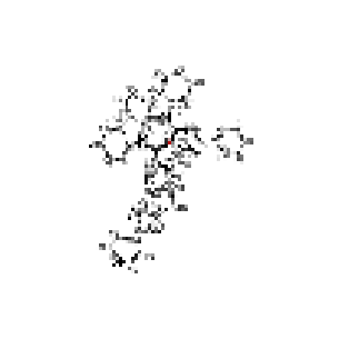 c1ccc(-c2nc(-c3cccnc3)nc(-n3c4ccccc4c4ccc5c6ccccc6n(-c6cccc(-c7ccc8oc(-c9ccncc9)nc8c7)c6)c5c43)n2)nc1